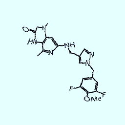 COc1c(F)cc(Cn2cc(CNc3cc4c(c(C)n3)NC(=O)CN4C)cn2)cc1F